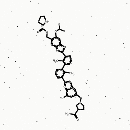 Cc1c(-c2nc3cc(COC(=O)[C@@H]4CCCN4)c(OC(F)F)cc3o2)cccc1-c1cccc(-c2nc3cc(CN4CCC(C(N)=O)C4)cc(C#N)c3o2)c1C